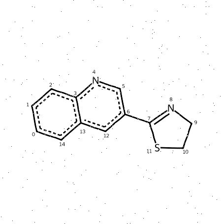 c1ccc2ncc(C3=NCCS3)cc2c1